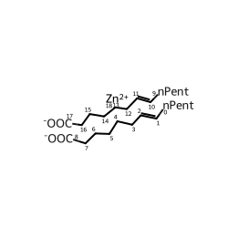 CCCCCC=CCCCCCC(=O)[O-].CCCCCC=CCCCCCC(=O)[O-].[Zn+2]